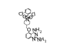 Nc1nc(N)c2c(OCC3CCN(S(=O)(=O)c4c(Cl)cccc4Cl)CC3)cccc2n1